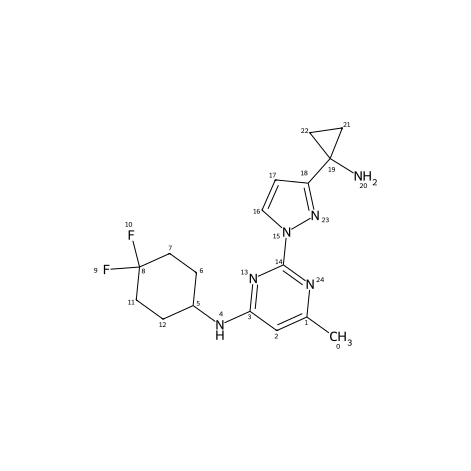 Cc1cc(NC2CCC(F)(F)CC2)nc(-n2ccc(C3(N)CC3)n2)n1